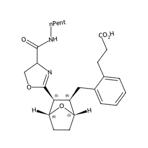 CCCCCNC(=O)C1COC([C@H]2[C@@H](Cc3ccccc3CCC(=O)O)[C@@H]3CC[C@H]2O3)=N1